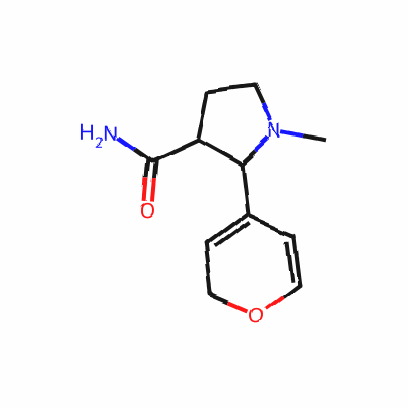 CN1CCC(C(N)=O)C1C1=CCOC=C1